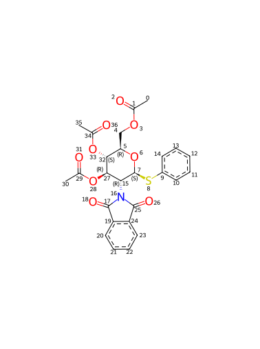 CC(=O)OC[C@H]1O[C@@H](Sc2ccccc2)[C@H](N2C(=O)c3ccccc3C2=O)[C@@H](OC(C)=O)[C@@H]1OC(C)=O